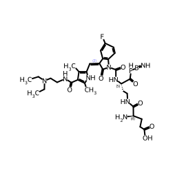 CCN(CC)CCNC(=O)c1c(C)[nH]c(/C=C2\C(=O)N(C(=O)N[C@@H](CCNC(=O)[C@H](N)CCC(=O)O)C(=O)PB=N)c3ccc(F)cc32)c1C